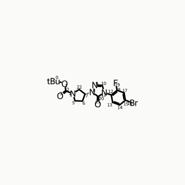 CC(C)(C)OC(=O)N1CC[C@@H](n2ncn(-c3ccc(Br)cc3F)c2=O)C1